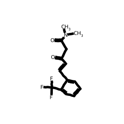 CN(C)C(=O)CC(=O)C=Cc1ccccc1C(F)(F)F